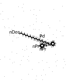 CCCCCCCCCCCCCCCCCCCCCCCCCCCCC(C=Nc1ccccc1)=Nc1ccc(CCC)c(CCC)c1.[Pd]